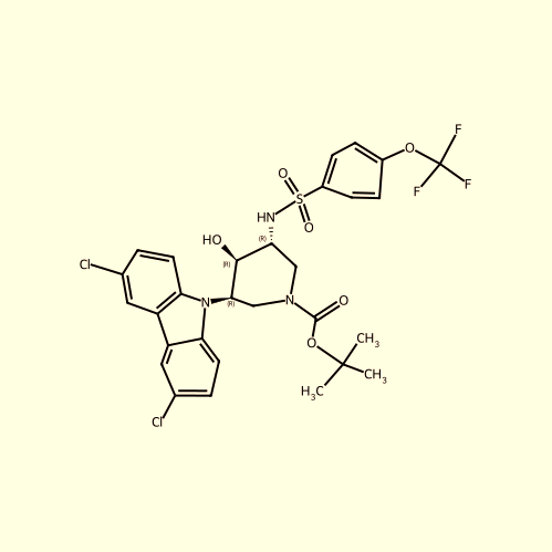 CC(C)(C)OC(=O)N1C[C@@H](n2c3ccc(Cl)cc3c3cc(Cl)ccc32)[C@@H](O)[C@H](NS(=O)(=O)c2ccc(OC(F)(F)F)cc2)C1